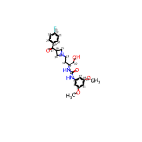 COc1cc(NC(=O)N[C@H](CO)CCN2CC(C(=O)c3ccc(F)cc3)C2)cc(OC)c1